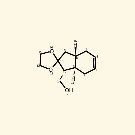 OC[C@H]1[C@@H]2CC=CC[C@H]2CC12OCCO2